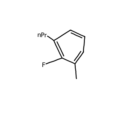 CCCc1cccc(C)c1F